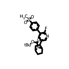 CC(C)(C)OC(=O)N1C2CCC1C(c1cnc(F)c(-c3ccc(S(C)(=O)=O)cc3)c1)C2